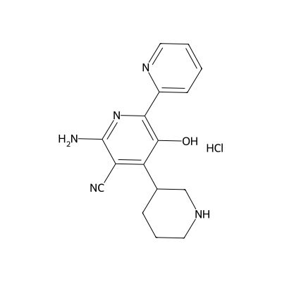 Cl.N#Cc1c(N)nc(-c2ccccn2)c(O)c1C1CCCNC1